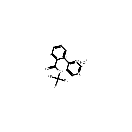 Cl.O=C(OC(F)(F)F)c1ccccc1-c1ccncn1